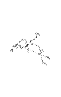 CC/C=C\CCCCOC(CCC(=O)OCC(COC(=O)CCCCCCCOC(=O)C(CCCC)CCCCCC)COC(=O)OCC(CCCCCC)OC(=O)NCCN1CCCC1)OCCCC/C=C\CC